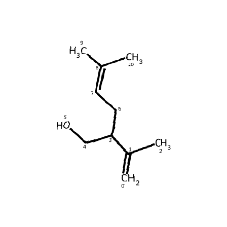 C=C(C)C(CO)CC=C(C)C